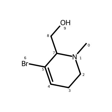 CN1CCC=C(Br)C1CO